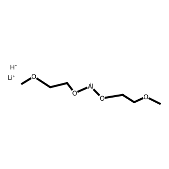 COCC[O][Al][O]CCOC.[H-].[Li+]